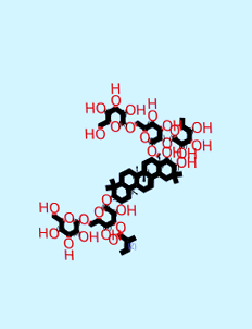 C/C=C(/C)C(=O)OC1[C@H](O)C(CO[C@@H]2OC(CO)[C@@H](O)C(O)[C@@H]2O)O[C@@H](O[C@H]2CC[C@@]3(C)C(CC[C@]4(C)C3CC=C3C5CC(C)(C)[C@@H](O)[C@H](O)[C@]5(CO[C@@H]5OC(CO[C@@H]6OC(CO)[C@@H](O)C(O)[C@@H]6O)[C@@H](O)C(O)[C@@H]5O[C@@H]5OC(C)[C@H](O)C(O)[C@@H]5O)CC[C@]34C)C2(C)C)[C@H]1O